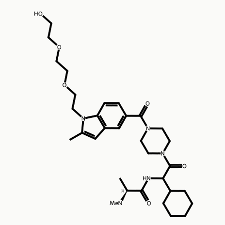 CN[C@@H](C)C(=O)NC(C(=O)N1CCN(C(=O)c2ccc3c(c2)cc(C)n3CCOCCOCCO)CC1)C1CCCCC1